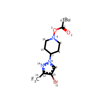 CC(C)(C)C(=O)ON1CCC(n2cc(Br)c(C(F)(F)F)n2)CC1